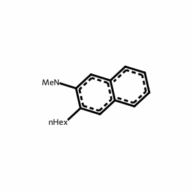 CCCCCCc1cc2ccccc2cc1NC